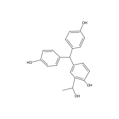 CC(O)c1cc(C(c2ccc(O)cc2)c2ccc(O)cc2)ccc1O